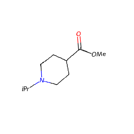 COC(=O)C1CCN(C(C)C)CC1